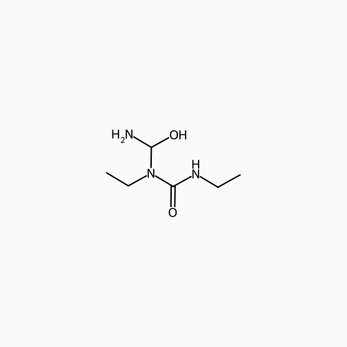 CCNC(=O)N(CC)C(N)O